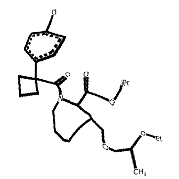 CCOC(C)OCC1CCCN(C(=O)C2(c3ccc(Cl)cc3)CCC2)C1C(=O)OC(C)C